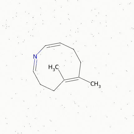 C/C1=C(/C)CC/C=N\C=C/CC1